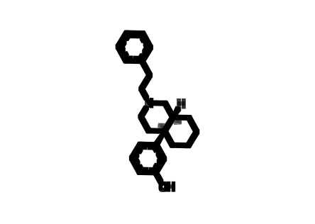 Oc1cccc([C@]23CCCC[C@H]2CN(CCc2ccccc2)CC3)c1